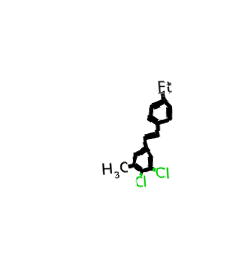 CCc1ccc(/C=C/c2cc(C)c(Cl)c(Cl)c2)cc1